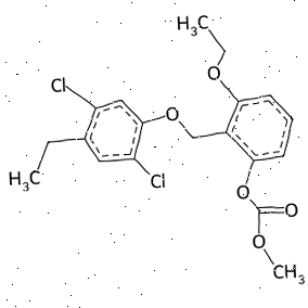 CCOc1cccc(OC(=O)OC)c1COc1cc(Cl)c(CC)cc1Cl